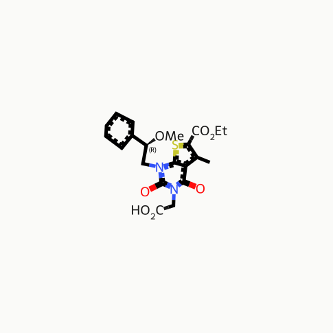 CCOC(=O)c1sc2c(c1C)c(=O)n(CC(=O)O)c(=O)n2C[C@H](OC)c1ccccc1